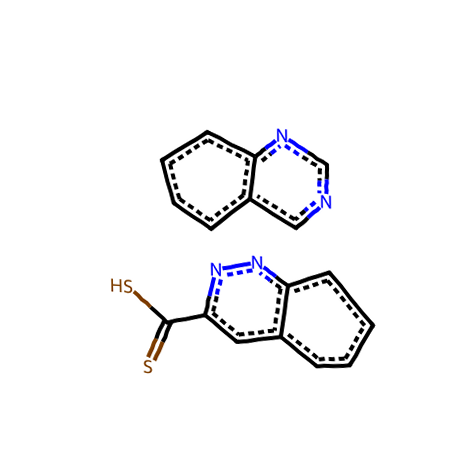 S=C(S)c1cc2ccccc2nn1.c1ccc2ncncc2c1